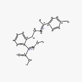 CO/N=C(/C(=O)OC)c1ccccc1CO/N=C(\C)c1ccc(C)cc1